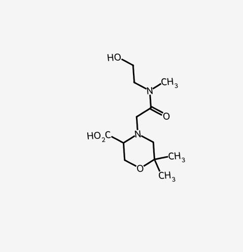 CN(CCO)C(=O)CN1CC(C)(C)OCC1C(=O)O